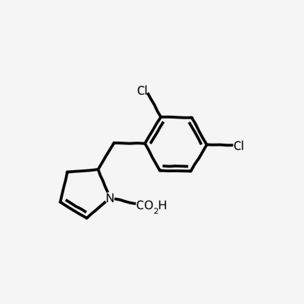 O=C(O)N1C=CCC1Cc1ccc(Cl)cc1Cl